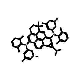 CC1=C[C@H](C)CC(N(C2=C(C)C=CCC2C)c2cc3c4c(cc5c6c(ccc2c46)C2C(=C2C(C)C)C=5N(c2c(C)cccc2C)C2C=C(C)CC(C)C2)C(C)(C)CC3)=C1